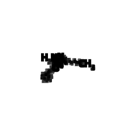 CCC=CCCCn1cnc2c(N)nc(OCCCc3ccccc3)nc21